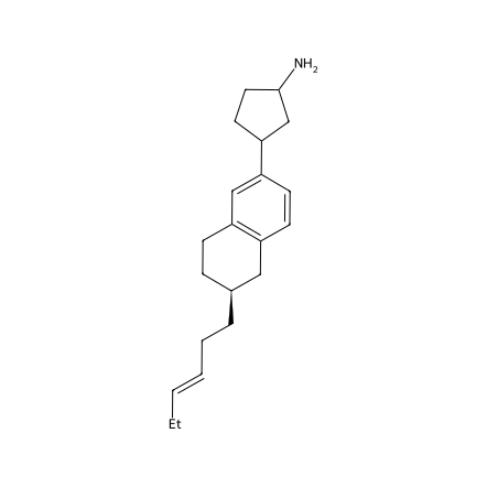 CC/C=C/CC[C@H]1CCc2cc(C3CCC(N)C3)ccc2C1